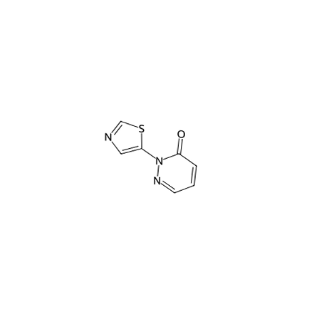 O=c1cccnn1-c1cncs1